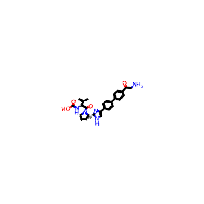 CC(C)[C@@H](NC(=O)O)C(=O)N1CCC[C@H]1c1nc(-c2ccc(-c3ccc(C(=O)CN)cc3)cc2)c[nH]1